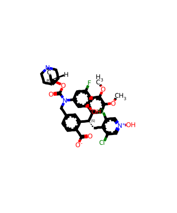 COc1ccc([C@H](Cc2c(Cl)c[n+](O)cc2Cl)c2cc(CN(C(=O)O[C@H]3CN4CCC3CC4)c3cc(O)cc(F)c3)ccc2C(=O)[O-])cc1OC